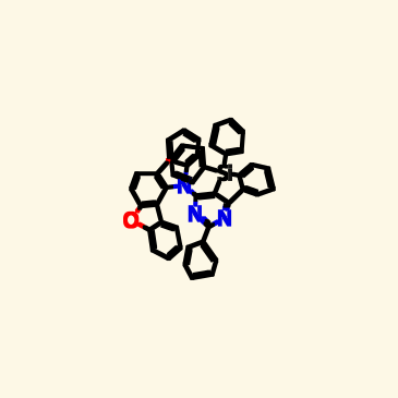 c1ccc(-c2nc3c(c(-n4c5ccccc5c5ccc6oc7ccccc7c6c54)n2)[Si](c2ccccc2)(c2ccccc2)c2ccccc2-3)cc1